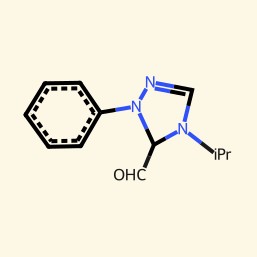 CC(C)N1C=NN(c2ccccc2)C1C=O